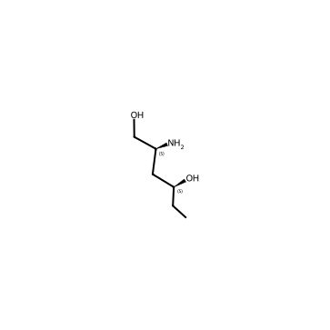 CC[C@H](O)C[C@H](N)CO